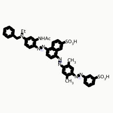 CCN(Cc1ccccc1)c1ccc(/N=N/c2ccc(/N=N/c3cc(C)c(/N=N/c4cccc(S(=O)(=O)O)c4)cc3C)c3cc(S(=O)(=O)O)ccc23)c(NC(C)=O)c1